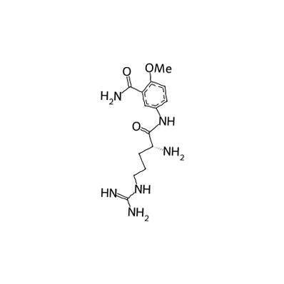 COc1ccc(NC(=O)[C@H](N)CCCNC(=N)N)cc1C(N)=O